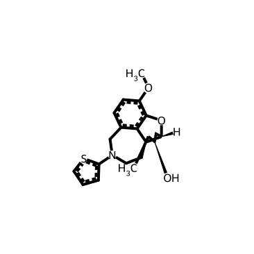 COc1ccc2c3c1O[C@H]1C[C@@H](O)C(C)[C@@]31CCN(c1cccs1)C2